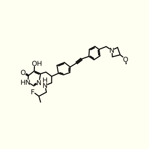 COC1CN(Cc2ccc(C#Cc3ccc(C(CNCC(C)F)Cc4nc[nH]c(=O)c4O)cc3)cc2)C1